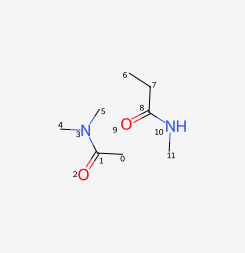 CC(=O)N(C)C.CCC(=O)NC